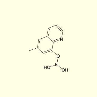 Cc1cc([O][Bi]([OH])[OH])c2ncccc2c1